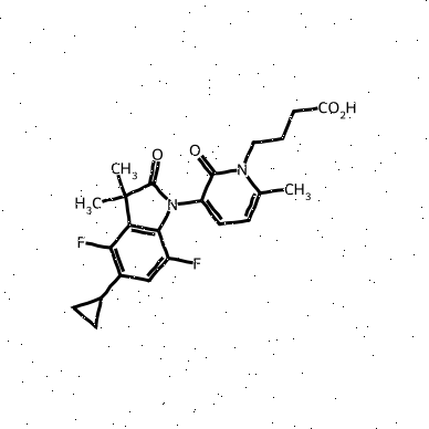 Cc1ccc(N2C(=O)C(C)(C)c3c(F)c(C4CC4)cc(F)c32)c(=O)n1CCCC(=O)O